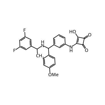 COc1ccc(C(NC(C)c2cc(F)cc(F)c2)c2cccc(Nc3c(O)c(=O)c3=O)c2)cc1